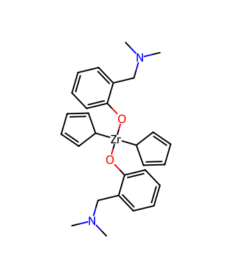 CN(C)Cc1ccccc1[O][Zr]([O]c1ccccc1CN(C)C)([CH]1C=CC=C1)[CH]1C=CC=C1